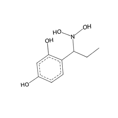 CCC(c1ccc(O)cc1O)N(O)O